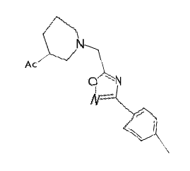 CC(=O)C1CCCN(Cc2nc(-c3ccc(C)cc3)no2)C1